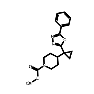 CC(C)(C)OC(=O)N1CCC(C2(c3nnc(-c4ccccc4)o3)CC2)CC1